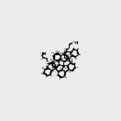 OCCOc1ccc(C2(c3ccc(OCCO)c4ccccc34)c3c(cccc3-c3cccc4ccccc34)-c3cccc(-c4cccc5ccccc45)c32)c2ccccc12